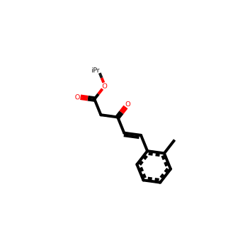 Cc1ccccc1C=CC(=O)CC(=O)OC(C)C